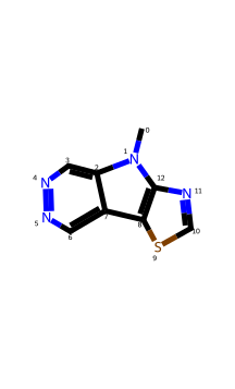 Cn1c2cnncc2c2scnc21